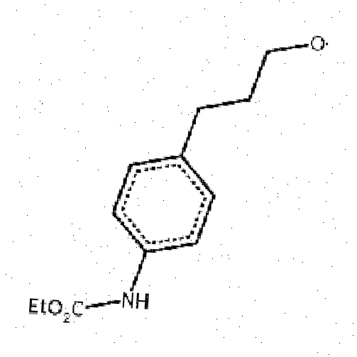 CCOC(=O)Nc1ccc(CCC[O])cc1